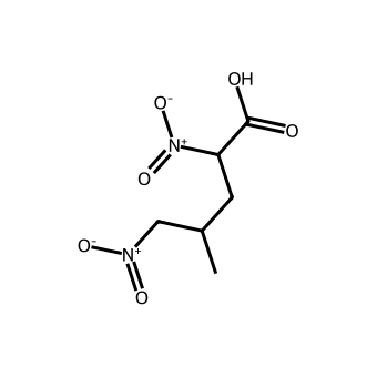 CC(CC(C(=O)O)[N+](=O)[O-])C[N+](=O)[O-]